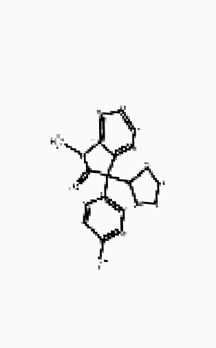 CN1C(=O)C(c2ccc(O)cc2)(C2CCCC2)c2ccccc21